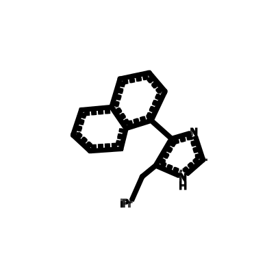 CC(C)Cc1[nH][c]nc1-c1cccc2ccccc12